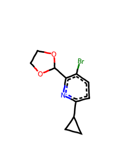 Brc1ccc(C2CC2)nc1C1OCCO1